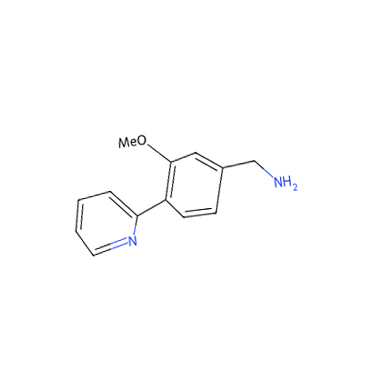 COc1cc(CN)ccc1-c1ccccn1